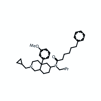 COc1cccc(C23CCN(CC4CC4)CC2CCC(N(CC(C)C)C(=O)CCCCCc2ccccc2)C3)c1